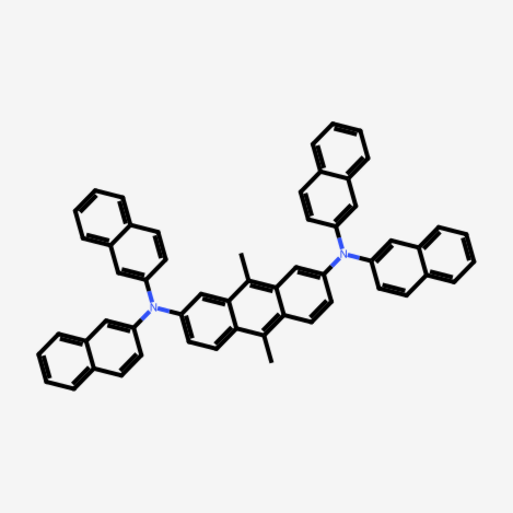 Cc1c2ccc(N(c3ccc4ccccc4c3)c3ccc4ccccc4c3)cc2c(C)c2cc(N(c3ccc4ccccc4c3)c3ccc4ccccc4c3)ccc12